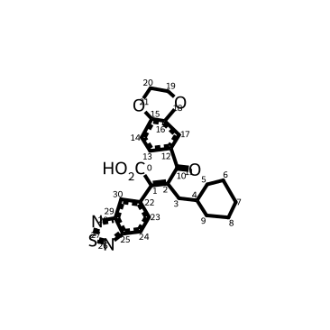 O=C(O)C(=C(CC1CCCCC1)C(=O)c1ccc2c(c1)OCCO2)c1ccc2nsnc2c1